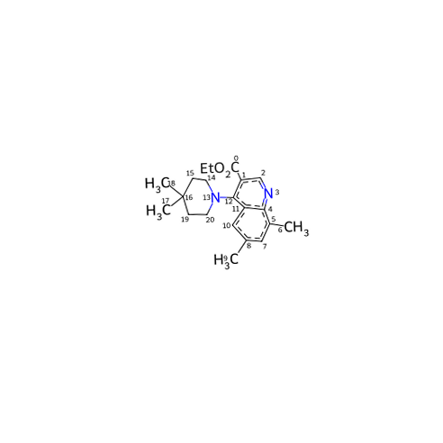 CCOC(=O)c1cnc2c(C)cc(C)cc2c1N1CCC(C)(C)CC1